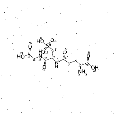 N[C@@H](CCC(=O)N[C@@H](CS(=O)(=O)O)C(=O)NCC(=O)O)C(=O)O